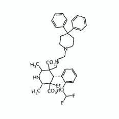 CCC1(C(=O)O)C(C)NC(C)C(CCCN2CCC(c3ccccc3)(c3ccccc3)CC2)(C(=O)O)[C@@H]1c1ccccc1OC(F)F